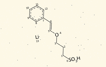 O=S(=O)(O)CCCOC=Cc1ccccc1.[Li]